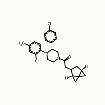 Cc1ccc(N2CCN(C(=O)CC3C[C@@H]4CC45C[C@H]35)C[C@H]2c2ccc(Cl)cc2)c(Cl)c1